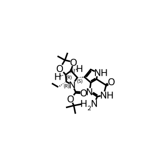 CC[C@@H]1[C@H]2OC(C)(C)O[C@H]2[C@H](c2c[nH]c3c(=O)[nH]c(N)nc23)N1C(=O)OC(C)(C)C